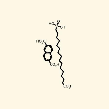 O=C(O)CCCCCCCCCCCCCCCP(=O)(O)O.O=C(O)c1ccc2cc(C(=O)O)ccc2c1